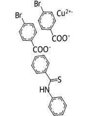 O=C([O-])c1ccc(Br)cc1.O=C([O-])c1ccc(Br)cc1.S=C(Nc1ccccc1)c1ccccc1.[Cu+2]